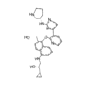 Cc1ccc2c(NC[C@@H](O)C3CC3)cccc2c1Oc1ncccc1-c1ccnc(N[C@H]2CCCNC2)n1.Cl